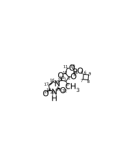 CC1C2OP(OC3CCC3)OCC2OC1n1ccc(=O)[nH]c1=O